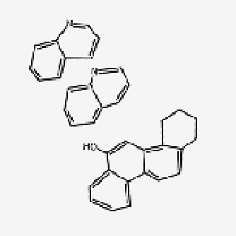 Oc1cc2c3c(ccc2c2ccccc12)CCCC3.c1ccc2ncccc2c1.c1ccc2ncccc2c1